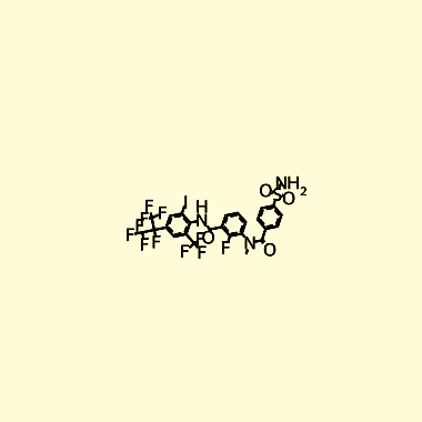 CN(C(=O)c1ccc(S(N)(=O)=O)cc1)c1cccc(C(=O)Nc2c(I)cc(C(F)(C(F)(F)F)C(F)(F)F)cc2C(F)(F)F)c1F